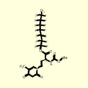 CC1=CN(CC[C@H](NC(=O)OC(C)(C)C)C(=O)OC(F)(F)C(F)(F)C(F)(F)C(F)(F)C(F)(F)C(F)(F)C(F)(F)C(F)(F)F)C(=O)CC1=O